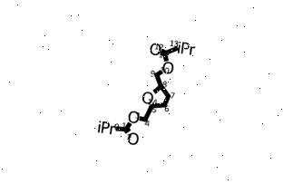 CC(C)C(=O)OCC1CCC(COC(=O)C(C)C)O1